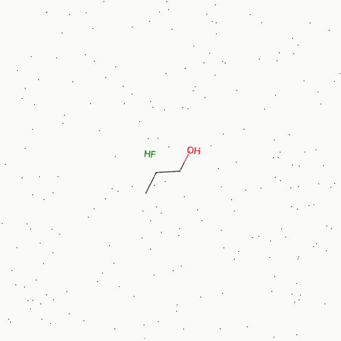 CCCO.F